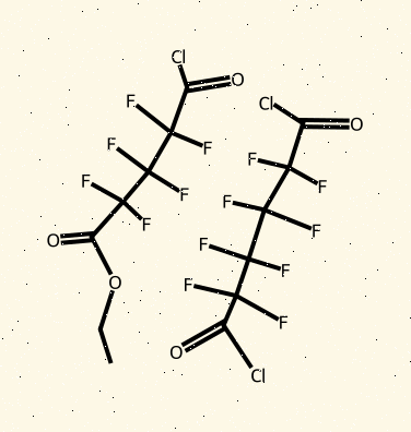 CCOC(=O)C(F)(F)C(F)(F)C(F)(F)C(=O)Cl.O=C(Cl)C(F)(F)C(F)(F)C(F)(F)C(F)(F)C(=O)Cl